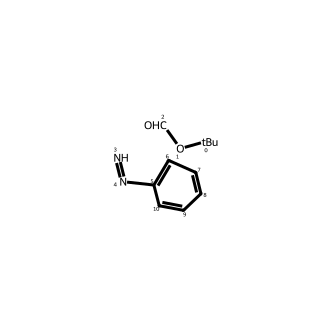 CC(C)(C)OC=O.N=Nc1ccccc1